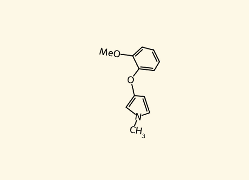 COc1ccccc1Oc1ccn(C)c1